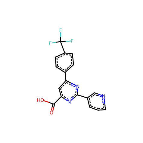 O=C(O)c1cc(-c2ccc(C(F)(F)F)cc2)nc(-c2cccnc2)n1